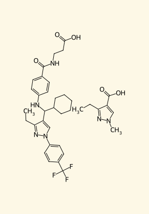 CCc1nn(-c2ccc(C(F)(F)F)cc2)cc1C(Nc1ccc(C(=O)NCCC(=O)O)cc1)C1CCCCC1.CCc1nn(C)cc1C(=O)O